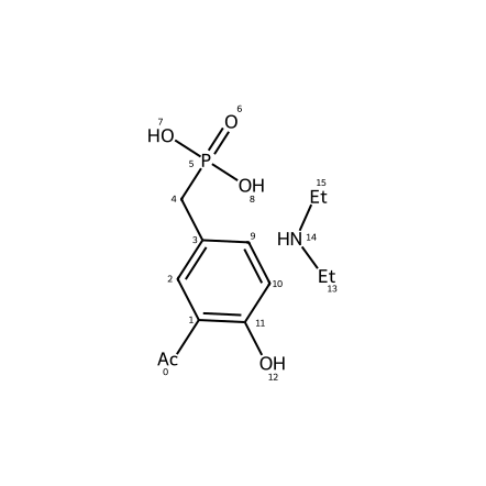 CC(=O)c1cc(CP(=O)(O)O)ccc1O.CCNCC